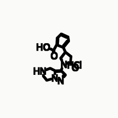 Cl.O=C(O)c1ccccc1C1CC(=O)N(c2cnn3c2CNCC3)C1